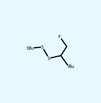 CCC(C)C(CF)SSC(C)(C)C